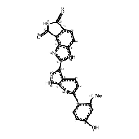 COc1cc(O)ccc1-c1ccc2c(-c3nc4c5c(ccc4[nH]3)C(=O)NC5=O)n[nH]c2n1